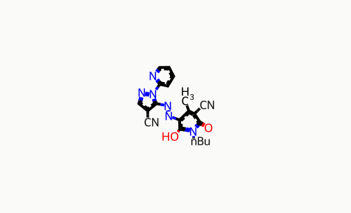 CCCCn1c(O)c(N=Nc2c(C#N)cnn2-c2ccccn2)c(C)c(C#N)c1=O